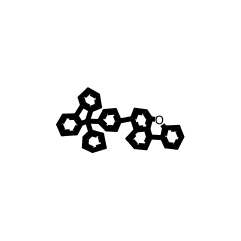 c1ccc(C2(c3ccc(-c4ccc5c6c(cccc46)-c4ccccc4O5)cc3)c3ccccc3-c3ccccc32)cc1